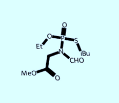 CCOP(=O)(SC(C)CC)N(C=O)CC(=O)OC